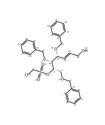 O=S(=O)(CCl)O[C@@H](COCc1ccccc1)[C@H](OCc1ccccc1)[C@@H](/C=C/CO)OCc1ccccc1